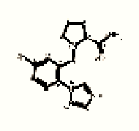 NC(=O)[C@@H]1CCCN1Cc1cc(F)ccc1-n1cncn1